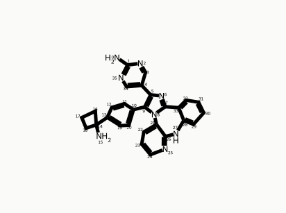 Nc1ncc(-c2nc3n(c2-c2ccc(C4(N)CCC4)cc2)-c2cccnc2Nc2ccccc2-3)cn1